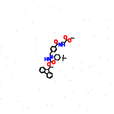 CCOC(=O)CCNC(=O)c1ccc(CN(NC(=O)OC(C)C2c3ccccc3-c3ccccc32)[C@H]2CC[C@@H](C(C)(C)C)CC2)cc1